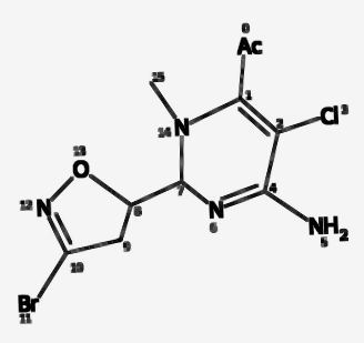 CC(=O)C1=C(Cl)C(N)=NC(C2CC(Br)=NO2)N1C